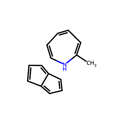 C1=CC2=CC=CC2=C1.CC1=CC=CC=CN1